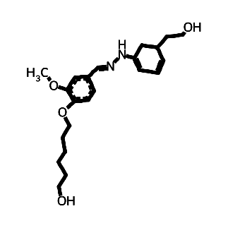 COc1cc(C=NNC2=CC=CC(CCO)C2)ccc1OCCCCCCO